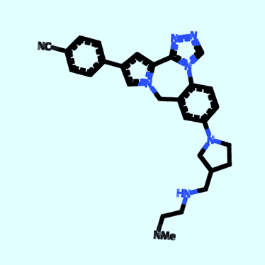 CNCCNCC1CCN(c2ccc3c(c2)Cn2cc(-c4ccc(C#N)cc4)cc2-c2nncn2-3)C1